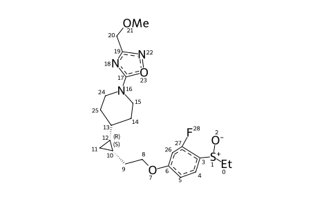 CC[S+]([O-])c1ccc(OCC[C@@H]2C[C@@H]2C2CCN(c3nc(COC)no3)CC2)cc1F